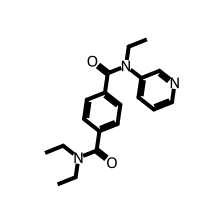 CCN(CC)C(=O)c1ccc(C(=O)N(CC)c2cccnc2)cc1